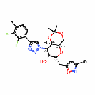 Cc1ccc(-c2cn([C@@H]3[C@@H](O)[C@@H](Cc4cc(C(C)(C)C)no4)O[C@@H]4COC(C)(C)O[C@H]34)nn2)c(F)c1F